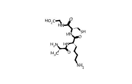 C[C@H](N)C(=O)N[C@@H](CCCCN)C(=O)N[C@@H](CS)C(=O)NCC(=O)O